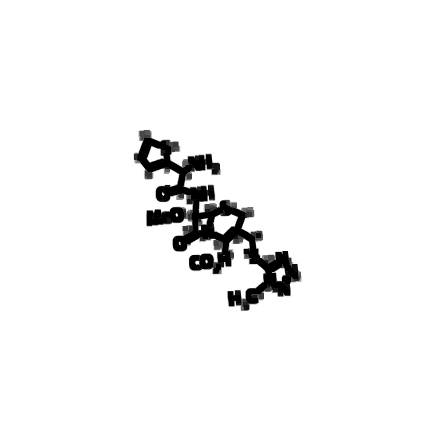 CO[C@@]1(NC(=O)C(N)c2cccs2)C(=O)N2C(C(=O)O)=C(CSc3nnnn3C)CSC21